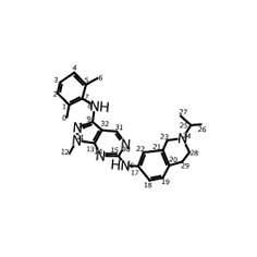 Cc1cccc(C)c1Nc1nn(C)c2nc(Nc3ccc4c(c3)CN(C(C)C)CC4)ncc12